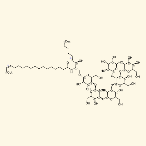 CCCCCCCC/C=C\CCCCCCCCCCCCCC(=O)N[C@@H](CO[C@@H]1OC(CO)[C@@H](O[C@@H]2OC(CO)[C@H](O)[C@H](O[C@@H]3OC(CO)[C@@H](O)[C@H](O[C@@H]4OC(CO)[C@H](O)[C@H](O[C@H]5OC(CO)[C@H](O)[C@H](O)C5O)C4O[C@H]4OC(C)[C@@H](O)C(O)[C@@H]4O)C3NC(C)=O)C2O)[C@H](O)C1O)[C@H](O)/C=C/CCCCCCCCCCCCC